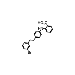 O=C(O)c1ccccc1Nc1ccc(CCc2cccc(Br)c2)cc1